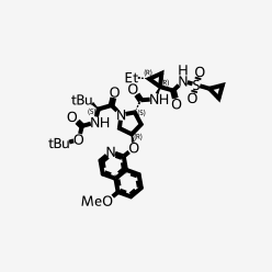 CC[C@@H]1C[C@]1(NC(=O)[C@@H]1C[C@@H](Oc2nccc3c(OC)cccc23)CN1C(=O)[C@@H](NC(=O)OC(C)(C)C)C(C)(C)C)C(=O)NS(=O)(=O)C1CC1